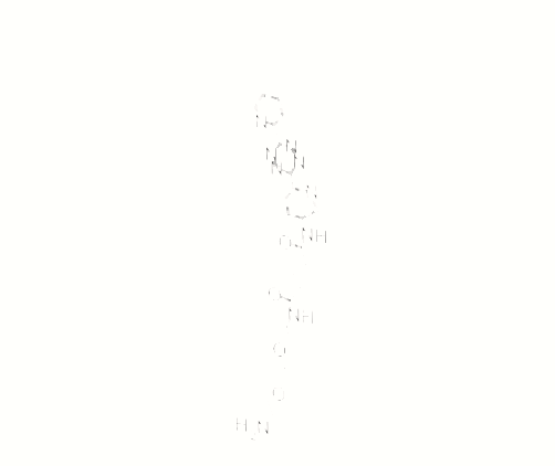 NCCOCCOCCNC(=O)CCCC(=O)Nc1ccc(-c2nnc(-c3ccccn3)nn2)nc1